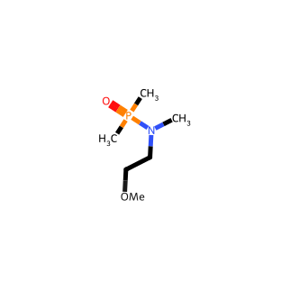 COCCN(C)P(C)(C)=O